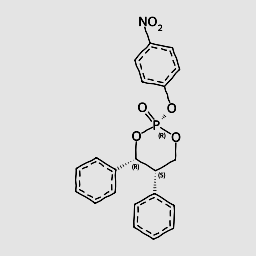 O=[N+]([O-])c1ccc(O[P@]2(=O)OC[C@H](c3ccccc3)[C@H](c3ccccc3)O2)cc1